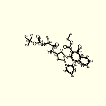 CCOC(=O)c1c(N2CCC(NC(=O)[C@H](C)NC(=O)OC(C)(C)C)C2)n(-c2nccs2)c2ncccc2c1=O